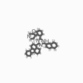 c1ccc2c(c1)-c1cccc3c(C4=NC(c5ccc6ccccc6c5)NC(c5cccc6oc7cnccc7c56)=N4)ccc-2c13